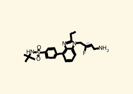 CCc1nc2c(-c3ccc(S(=O)(=O)NC(C)(C)C)cc3)cccc2n1C/C(F)=C/CN